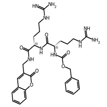 N=C(N)NCCC[C@H](NC(=O)OCc1ccccc1)C(=O)N[C@@H](CCCNC(=N)N)C(=O)NCc1cc2ccccc2oc1=O